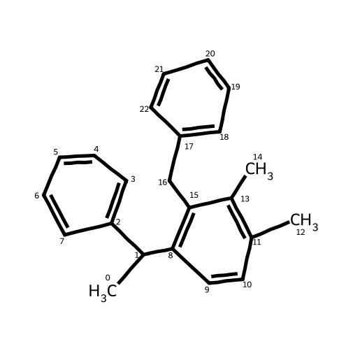 C[C](c1ccccc1)c1ccc(C)c(C)c1Cc1ccccc1